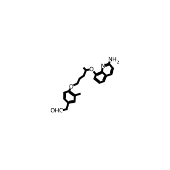 Cc1cc(CC=O)ccc1OCCCC(C)Oc1cccc2ccc(N)nc12